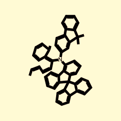 C\C=C/C=C\C(=C1/C=CC=CC1C)N(c1ccc2c(c1)C(C)(C)c1ccccc1-2)c1cccc2c1-c1ccccc1C21c2ccccc2-c2ccccc21